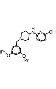 CC(C)Oc1cc(CN2CCC(Nc3nccc(O)n3)CC2)cc(OC(C)C)c1